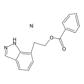 O=C(OCCc1cccc2cn[nH]c12)c1ccccc1.[N]